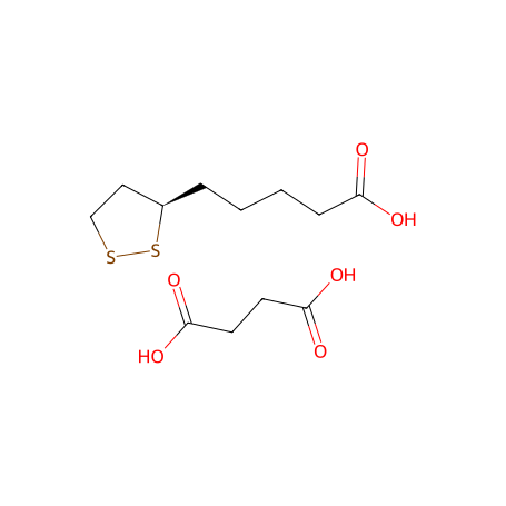 O=C(O)CCC(=O)O.O=C(O)CCCC[C@@H]1CCSS1